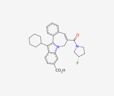 O=C(O)c1ccc2c(C3CCCCC3)c3n(c2c1)CC(C(=O)N1CC[C@H](F)C1)=Cc1ccccc1-3